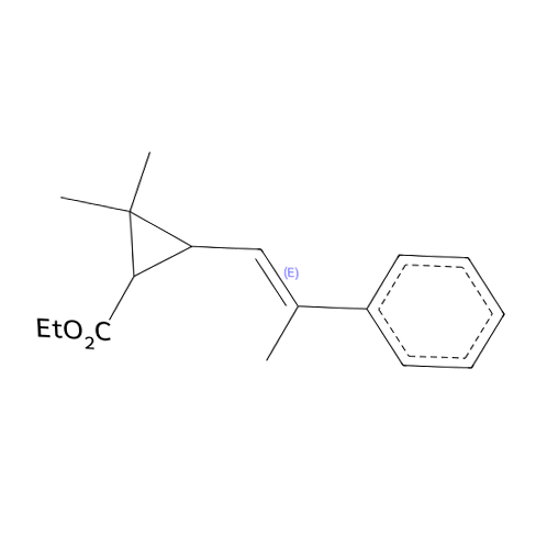 CCOC(=O)C1C(/C=C(\C)c2ccccc2)C1(C)C